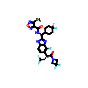 Cc1nonc1C(=O)N[C@H](c1nc2c(F)c([C@@H](CC(F)F)C(=O)N3CC(F)(F)C3)ccc2[nH]1)C1CCC(F)(F)CC1